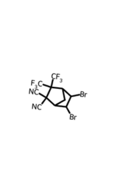 N#CC1(C#N)C2CC(C(Br)C2Br)C1(C(F)(F)F)C(F)(F)F